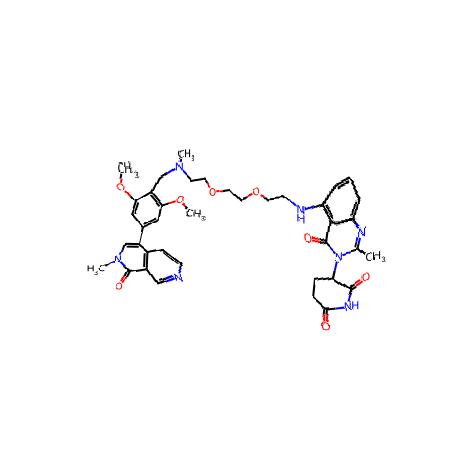 COc1cc(-c2cn(C)c(=O)c3cnccc23)cc(OC)c1CN(C)CCOCCOCCNc1cccc2nc(C)n(C3CCC(=O)NC3=O)c(=O)c12